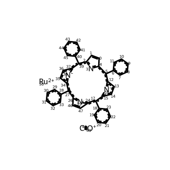 C1=Cc2nc1c(-c1ccccc1)c1ccc([n-]1)c(-c1ccccc1)c1nc(c(-c3ccccc3)c3ccc([n-]3)c2-c2ccccc2)C=C1.[C-]#[O+].[Ru+2]